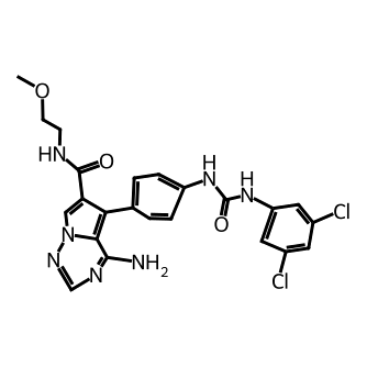 COCCNC(=O)c1cn2ncnc(N)c2c1-c1ccc(NC(=O)Nc2cc(Cl)cc(Cl)c2)cc1